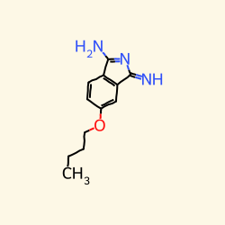 CCCCOc1ccc2c(c1)C(=N)N=C2N